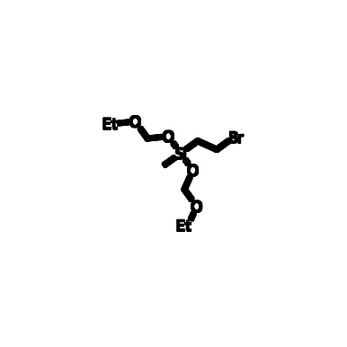 CCOCO[Si](C)(CCBr)OCOCC